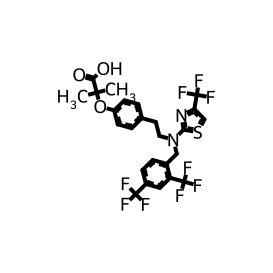 CC(C)(Oc1ccc(CCN(Cc2ccc(C(F)(F)F)cc2C(F)(F)F)c2nc(C(F)(F)F)cs2)cc1)C(=O)O